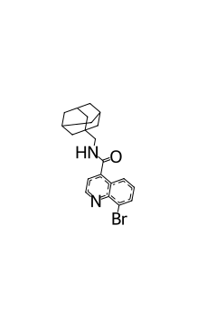 O=C(NCC12CC3CC(CC(C3)C1)C2)c1ccnc2c(Br)cccc12